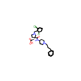 O=C(O)C[C@]1(C(=O)NC2CCN(CCCc3ccccc3)CC2)CCN(Cc2c(Cl)cccc2Cl)C1